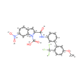 COc1ccc(C(F)(F)F)c(-c2cccc(NC(=O)c3cc4ccc([N+](=O)[O-])cc4n3C(=O)O)c2)c1